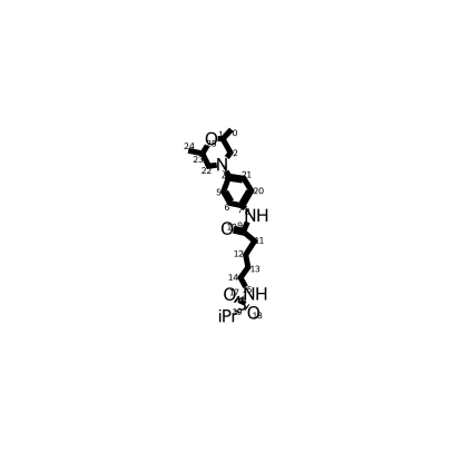 CC1CN(c2ccc(NC(=O)CCCCNS(=O)(=O)C(C)C)cc2)CC(C)O1